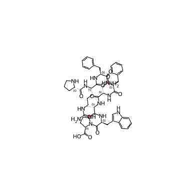 C[C@H](NC(=O)[C@H](CC(N)=O)NC(=O)[C@H](Cc1ccccc1)NC(=O)[C@H](Cc1ccccc1)NC(=O)[C@H](CCCNC(=N)N)NC(=O)[C@@H]1CCCN1)C(=O)N[C@@H](Cc1c[nH]c2ccccc12)C(=O)N1CCC[C@@H]1C(=O)O